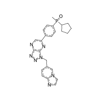 CP(=O)(c1ccc(-c2cnc3nnn(Cc4ccc5nccn5c4)c3n2)cc1)C1CCCC1